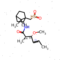 C/C=C/[C@@H](OC)[C@@H](C)C(=O)NC1CC2CCC1(C[SH](=O)=O)C2(C)C